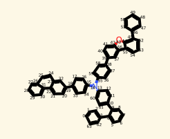 c1ccc(-c2ccccc2-c2ccc(N(c3ccc(-c4ccc5c(ccc6ccccc65)c4)cc3)c3ccc(-c4ccc5oc6c(-c7ccccc7)cccc6c5c4)cc3)cc2)cc1